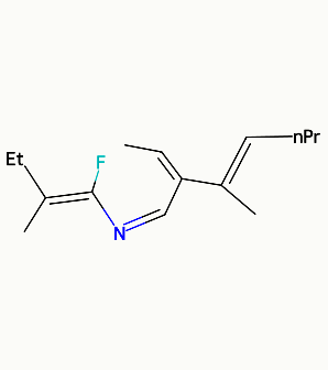 C/C=C(\C=N/C(F)=C(\C)CC)C(/C)=C/CCC